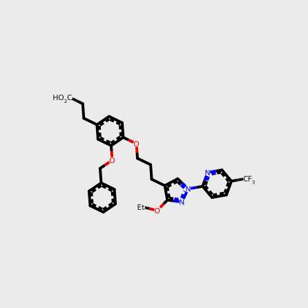 CCOc1nn(-c2ccc(C(F)(F)F)cn2)cc1CCCOc1ccc(CCC(=O)O)cc1OCc1ccccc1